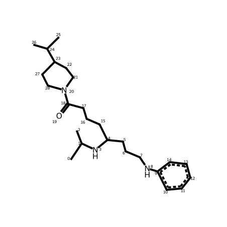 CC(C)NC(CCCNc1ccccc1)CCCC(=O)N1CCC(C(C)C)CC1